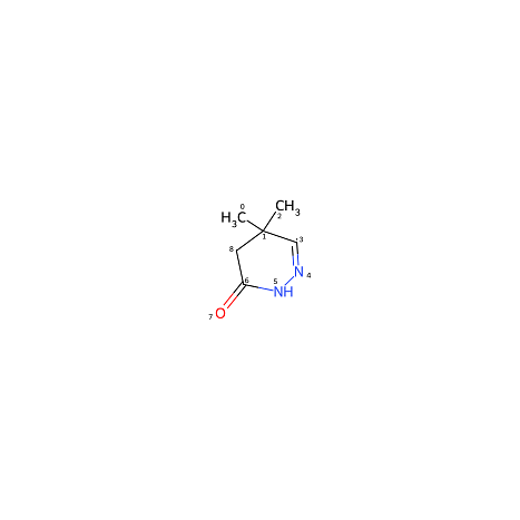 CC1(C)[C]=NNC(=O)C1